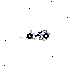 CCOC(=O)c1cc(Cl)c(NC(=O)c2cc(C)n(-c3ccccc3C(F)(F)F)c2C)c(Cl)c1